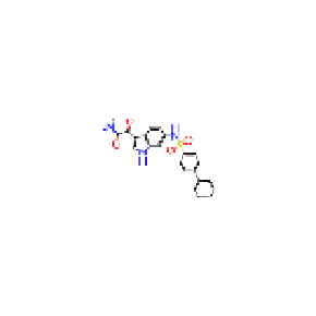 CN(C)C(=O)C(=O)c1c[nH]c2cc(NS(=O)(=O)c3ccc(-c4ccccc4)cc3)ccc12